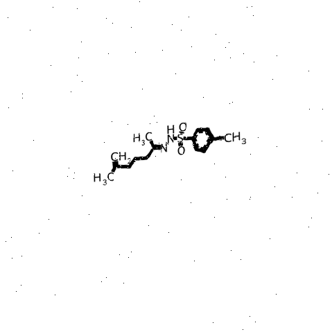 C=C(C)CCC/C(C)=N/NS(=O)(=O)c1ccc(C)cc1